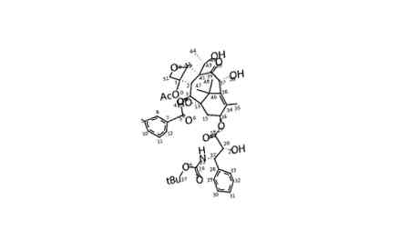 CC(=O)OC1([C@H]2[C@H](OC(=O)c3ccccc3)[C@]3(O)C[C@H](OC(=O)[C@H](O)[C@@H](NC(=O)OC(C)(C)C)c4ccccc4)C(C)=C([C@@H](O)C(=O)[C@]2(C)[C@H](C)O)C3(C)C)COC1